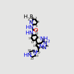 Bc1cccc(NC(=O)Nc2ccc(-c3cc(CN4CCNCC4)n4ncnc(N)c34)cc2)n1